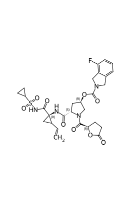 C=CC1C[C@]1(NC(=O)[C@@H]1C[C@@H](OC(=O)N2Cc3cccc(F)c3C2)CN1C(=O)[C@H]1CCC(=O)O1)C(=O)NS(=O)(=O)C1CC1